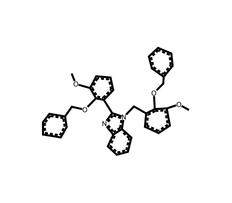 COc1cccc(Cn2c(-c3cccc(OC)c3OCc3ccccc3)nc3ccccc32)c1OCc1ccccc1